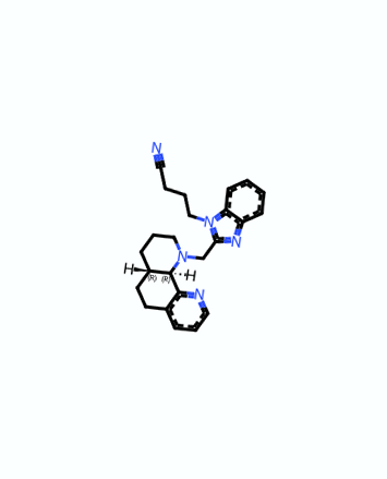 N#CCCCn1c(CN2CCC[C@H]3CCc4cccnc4[C@@H]32)nc2ccccc21